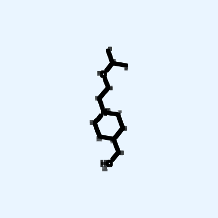 CC(C)OCCN1CCC(CO)CC1